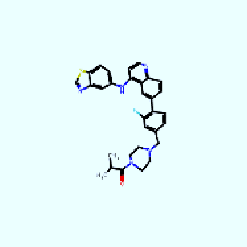 CC(C)C(=O)N1CCN(Cc2ccc(-c3ccc4nccc(Nc5ccc6scnc6c5)c4c3)c(F)c2)CC1